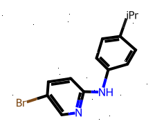 CC(C)c1ccc(Nc2ccc(Br)cn2)cc1